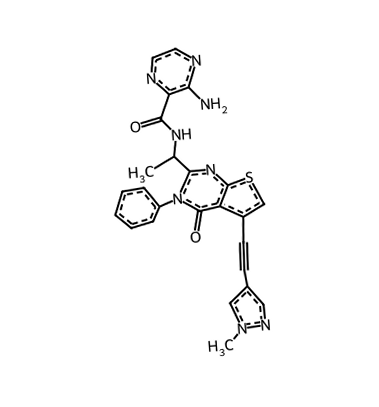 CC(NC(=O)c1nccnc1N)c1nc2scc(C#Cc3cnn(C)c3)c2c(=O)n1-c1ccccc1